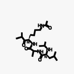 CC(=O)NCCCC[C@H](NC(=O)C(C)NC(=O)[C@H](CC(C)C)NC(C)C)C(=O)C(C)C